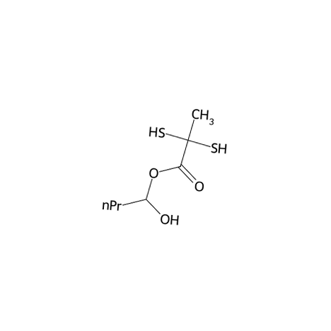 CCCC(O)OC(=O)C(C)(S)S